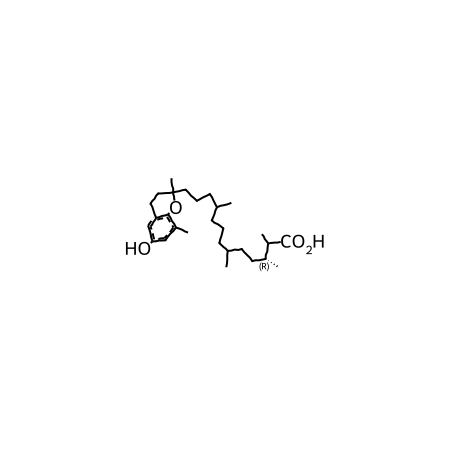 Cc1cc(O)cc2c1OC(C)(CCCC(C)CCCC(C)CC[C@@H](C)C(C)C(=O)O)CC2